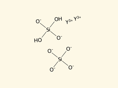 [O-][Si]([O-])(O)O.[O-][Si]([O-])([O-])[O-].[Y+3].[Y+3]